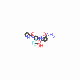 NC(=O)c1cccc2cn(-c3ccc(NC(=O)c4ccccn4)cc3)nc12.O=C(O)C(F)(F)F